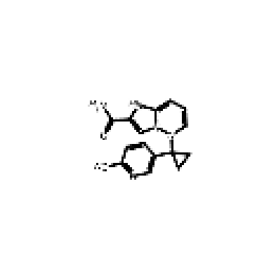 N#Cc1ccc(C2(N3C=CC=C4NC(C(N)=O)=CN43)CC2)cn1